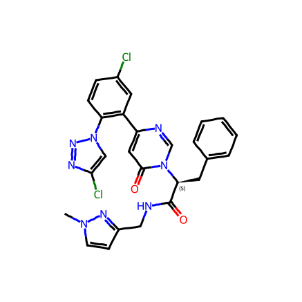 Cn1ccc(CNC(=O)[C@H](Cc2ccccc2)n2cnc(-c3cc(Cl)ccc3-n3cc(Cl)nn3)cc2=O)n1